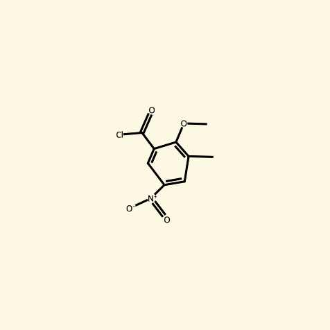 COc1c(C)cc([N+](=O)[O-])cc1C(=O)Cl